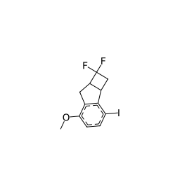 COc1ccc(I)c2c1CC1C2CC1(F)F